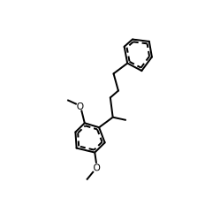 COc1ccc(OC)c(C(C)CCCc2ccccc2)c1